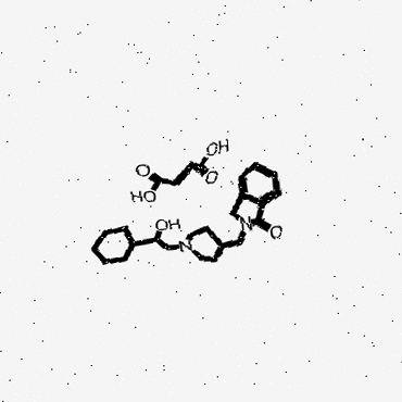 O=C(O)C=CC(=O)O.O=C1c2ccccc2CN1CC1CCN(CC(O)C2CCCCC2)CC1